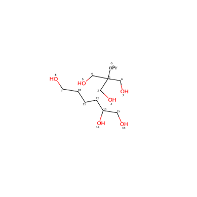 CCCC(CO)(CO)CO.OCCCCC(O)CO